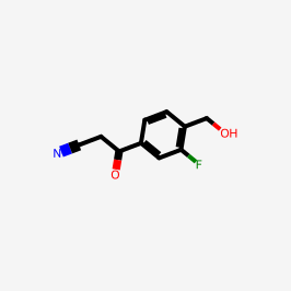 N#CCC(=O)c1ccc(CO)c(F)c1